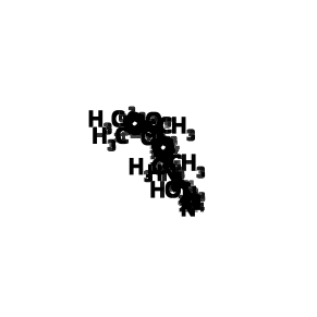 Cc1ccc(S(=O)(=O)C(C)c2ccc(C(C)(C)NCC(O)Cn3ccnc3)cc2)cc1C